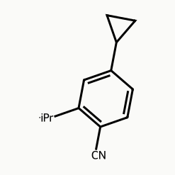 C[C](C)c1cc(C2CC2)ccc1C#N